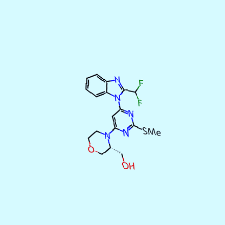 CSc1nc(N2CCOC[C@H]2CO)cc(-n2c(C(F)F)nc3ccccc32)n1